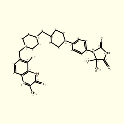 Cc1nc2ccc(CN3CCN(CC4CCN(c5ccc(N6C(=S)NC(=O)C6(C)C)cc5)CC4)CC3)c(F)c2[nH]c1=O